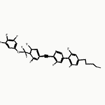 CCCCCc1cc(F)c(-c2ccc(C#CC3=CC(F)C(C(F)(F)Oc4cc(F)c(F)c(F)c4)C(F)=C3)c(F)c2)c(F)c1